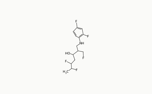 CC(F)C(F)CC(O)C(CF)CNc1ccc(F)cc1F